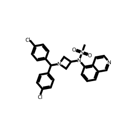 CS(=O)(=O)N(c1cccc2cnccc12)C1CN(C(c2ccc(Cl)cc2)c2ccc(Cl)cc2)C1